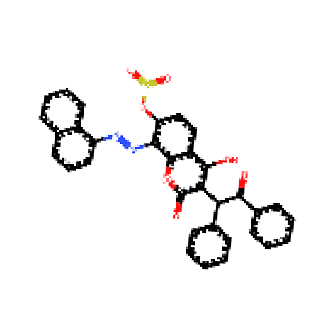 O=C(c1ccccc1)C(c1ccccc1)c1c(O)c2ccc(O[SH](=O)=O)c(/N=N/c3cccc4ccccc34)c2oc1=O